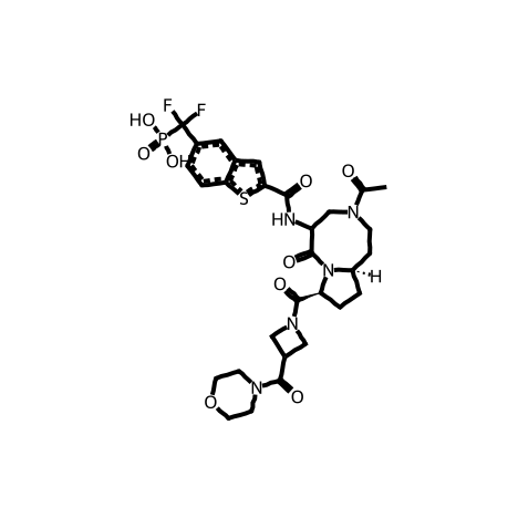 CC(=O)N1CC[C@H]2CC[C@@H](C(=O)N3CC(C(=O)N4CCOCC4)C3)N2C(=O)C(NC(=O)c2cc3cc(C(F)(F)P(=O)(O)O)ccc3s2)C1